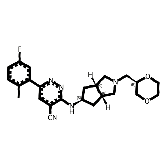 Cc1ccc(F)cc1-c1cc(C#N)c(N[C@H]2C[C@@H]3CN(C[C@@H]4COCCO4)C[C@@H]3C2)nn1